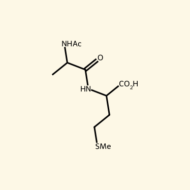 CSCCC(NC(=O)C(C)NC(C)=O)C(=O)O